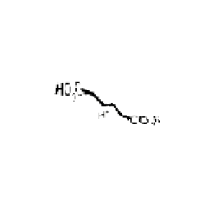 O=C(O)CCCCC(=O)O.[H+]